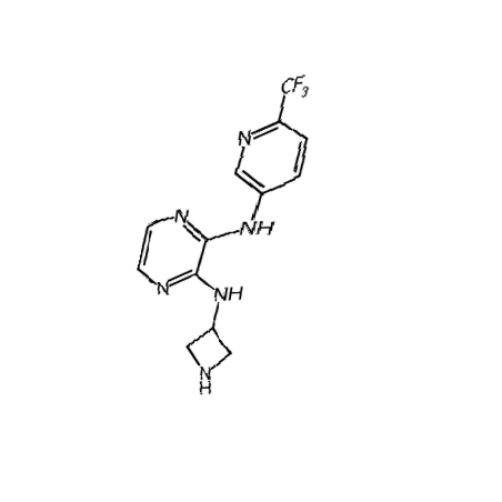 FC(F)(F)c1ccc(Nc2nccnc2NC2CNC2)cn1